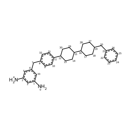 Nc1cc(N)cc(Cc2ccc(C3CCC(C4CCC(Cc5ccccc5)CC4)CC3)cc2)c1